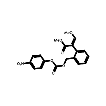 COC=C(C(=O)OC)c1ccccc1COC(=O)Oc1ccc([N+](=O)[O-])cc1